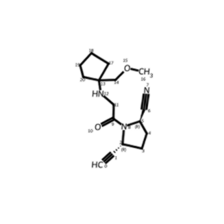 C#C[C@H]1CC[C@H](C#N)N1C(=O)CNC1(COC)CCCC1